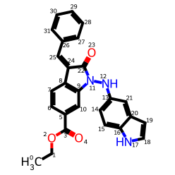 CCOC(=O)c1ccc2c(c1)N(Nc1ccc3[nH]ccc3c1)C(=O)C2=Cc1ccccc1